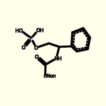 CCCCCCCCCC(=O)NC(COP(=O)(O)O)c1ccccc1